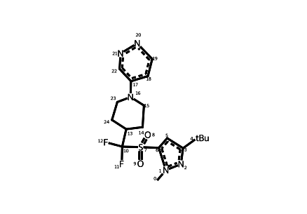 Cn1nc(C(C)(C)C)cc1S(=O)(=O)C(F)(F)C1CCN(c2ccnnc2)CC1